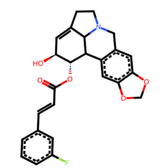 O=C(/C=C/c1cccc(F)c1)O[C@H]1C2c3cc4c(cc3CN3CCC(=C[C@@H]1O)C23)OCO4